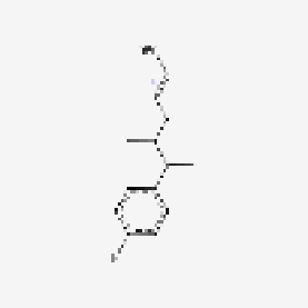 C=C(C/C=C(\C)CCC)C(C)c1ccc(F)cc1